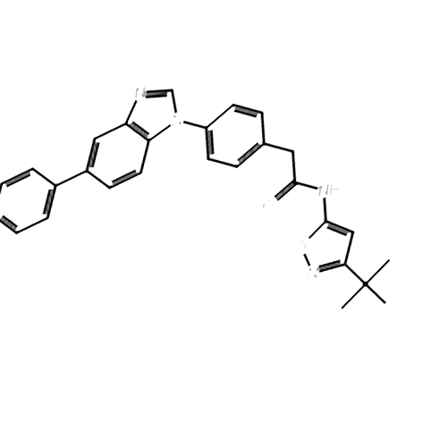 CC(C)(C)c1cc(NC(=O)Cc2ccc(-n3cnc4cc(-c5ccncc5)ccc43)cc2)on1